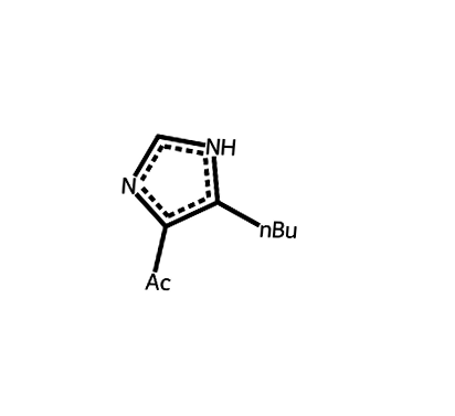 CCCCc1[nH]cnc1C(C)=O